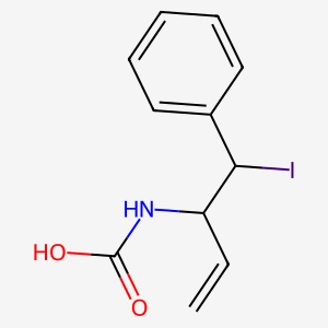 C=CC(NC(=O)O)C(I)c1ccccc1